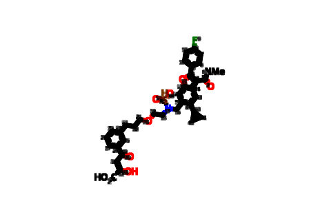 CNC(=O)c1c(-c2ccc(F)cc2)oc2cc(CN(CCOCCCc3cccc(C(=O)C=C(O)C(=O)O)c3)[SH](=O)=O)c(C3CC3)cc12